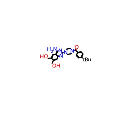 CC(C)(C)c1ccc(C(=O)N2CCN(c3nc(N)c4cc(CO)c(CO)cc4n3)CC2)cc1